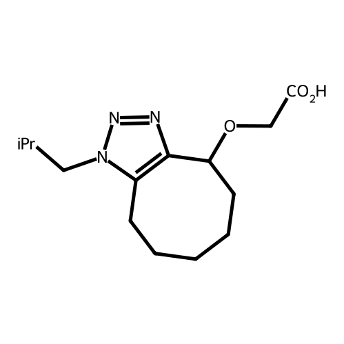 CC(C)Cn1nnc2c1CCCCCC2OCC(=O)O